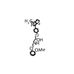 COc1ccccc1OCCNCC(O)COc1ccc(-c2nn(C)c3ccsc23)cc1